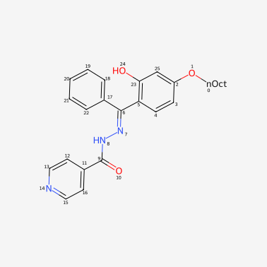 CCCCCCCCOc1ccc(C(=NNC(=O)c2ccncc2)c2ccccc2)c(O)c1